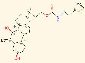 CC[C@@H]1C2C[C@H](O)CC[C@]2(C)C2CC[C@]3(C)[C@@H]([C@H](C)CCOC(=O)NCCc4cccs4)CC[C@H]3C2[C@@H]1O